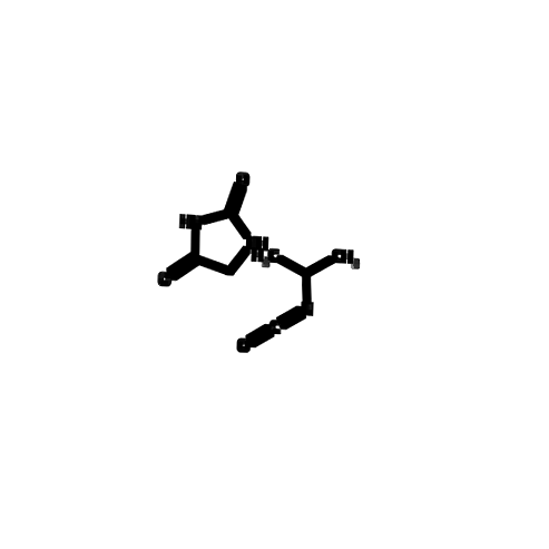 CC(C)N=C=O.O=C1CNC(=O)N1